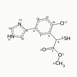 COC(=O)C(S)c1cc(-c2c[nH]cn2)ccc1Cl